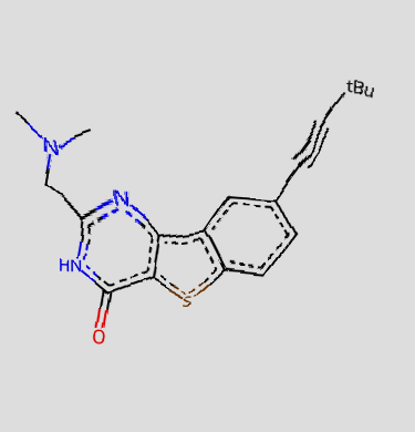 CN(C)Cc1nc2c(sc3ccc(C#CC(C)(C)C)cc32)c(=O)[nH]1